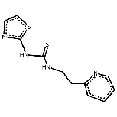 S=C(NCCc1ccccn1)Nc1nccs1